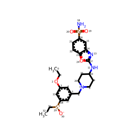 CCOc1cc(CN2CCC(Nc3nc4cc(S(N)(=O)=O)ccc4o3)CC2)cc([S+]([O-])CC)c1